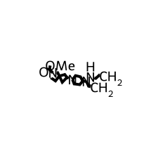 C=CCNN(C=C)C1CCN(C2CC3(CCN(C(=O)OC)C3)C2)CC1